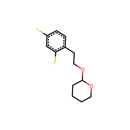 Fc1ccc(CCOC2CCCCO2)c(F)c1